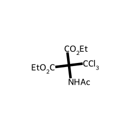 CCOC(=O)C(NC(C)=O)(C(=O)OCC)C(Cl)(Cl)Cl